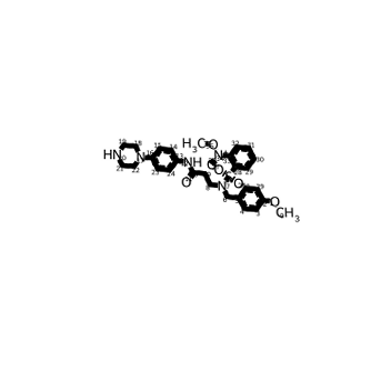 COc1ccc(CN(CCC(=O)Nc2ccc(N3CCNCC3)cc2)S(=O)(=O)c2ccccc2[N+](=O)OC)cc1